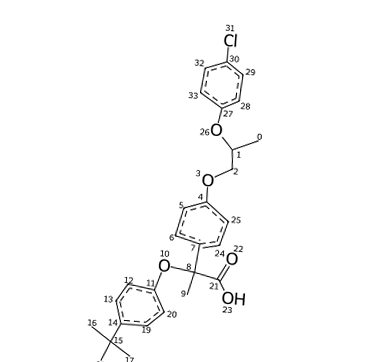 CC(COc1ccc(C(C)(Oc2ccc(C(C)(C)C)cc2)C(=O)O)cc1)Oc1ccc(Cl)cc1